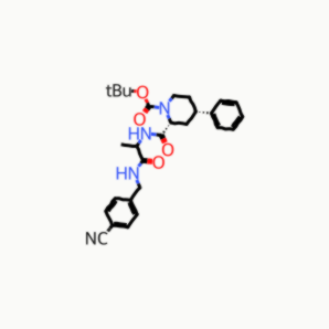 CC(NC(=O)[C@H]1C[C@@H](c2ccccc2)CCN1C(=O)OC(C)(C)C)C(=O)NCc1ccc(C#N)cc1